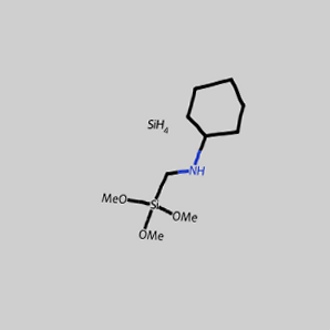 CO[Si](CNC1CCCCC1)(OC)OC.[SiH4]